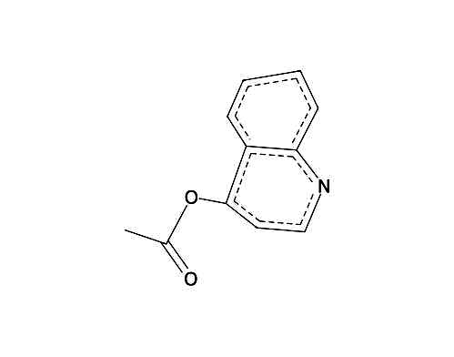 CC(=O)Oc1ccnc2ccccc12